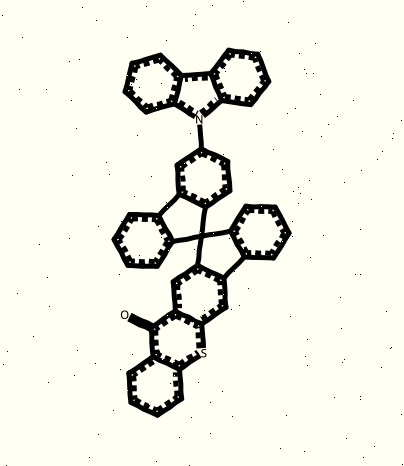 O=c1c2ccccc2sc2cc3c(cc12)C1(c2ccccc2-c2cc(-n4c5ccccc5c5ccccc54)ccc21)c1ccccc1-3